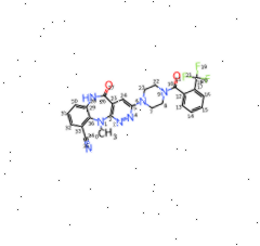 CN1c2nnc(N3CCN(C(=O)c4ccccc4C(F)(F)F)CC3)cc2C(=O)Nc2cccc(C#N)c21